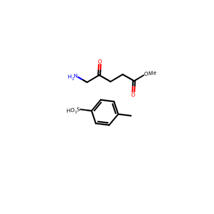 COC(=O)CCC(=O)CN.Cc1ccc(S(=O)(=O)O)cc1